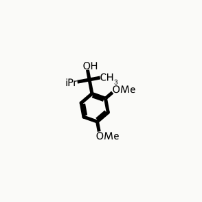 COc1ccc(C(C)(O)C(C)C)c(OC)c1